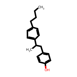 CCCCc1ccc(C(C)Cc2ccc(O)cc2)cc1